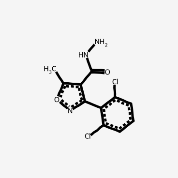 Cc1onc(-c2c(Cl)cccc2Cl)c1C(=O)NN